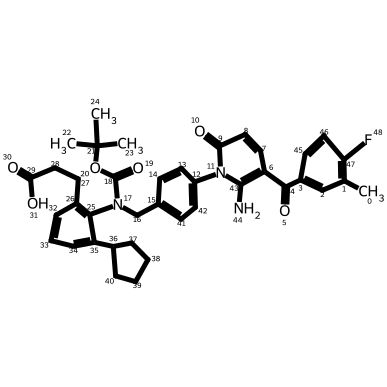 Cc1cc(C(=O)c2ccc(=O)n(-c3ccc(CN(C(=O)OC(C)(C)C)c4c(CCC(=O)O)cccc4C4CCCC4)cc3)c2N)ccc1F